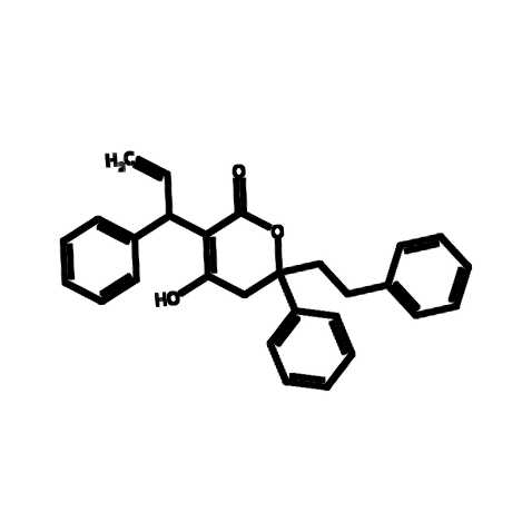 C=CC(C1=C(O)CC(CCc2ccccc2)(c2ccccc2)OC1=O)c1ccccc1